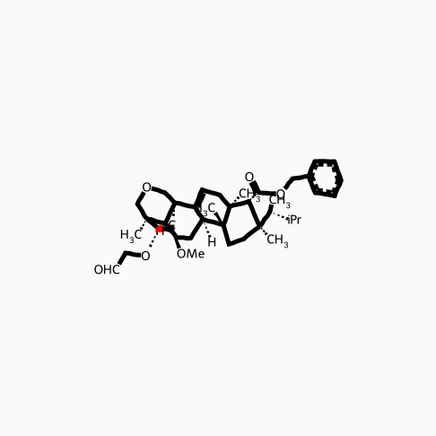 CO[C@@H]1C[C@@]23COC[C@@](C)([C@@H]2CC[C@H]2C3=CC[C@@]3(C)[C@H](C(=O)OCc4ccccc4)[C@@](C)([C@H](C)C(C)C)CC[C@]23C)[C@H]1OCC=O